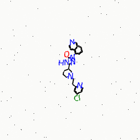 O=c1[nH]c(C2CCCN(CCc3cc(Cl)ccn3)C2)nn1-c1cccc2cnccc12